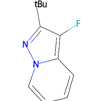 CC(C)(C)c1nn2ccccc2c1F